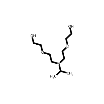 CC(C)N(CCOCCO)CCOCCO